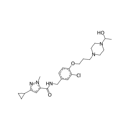 CC(O)N1CCN(CCCOc2ccc(CNC(=O)c3cc(C4CC4)nn3C)cc2Cl)CC1